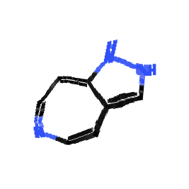 C1=CC2=CNNC2=CC=N1